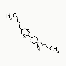 CCCCCC1CSC(C2CCC(C#N)(CCCCC)CC2)SC1